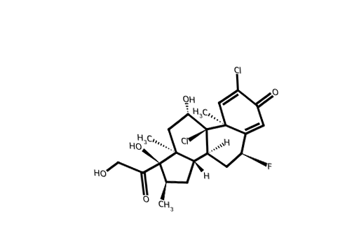 C[C@@H]1C[C@H]2[C@@H]3C[C@H](F)C4=CC(=O)C(Cl)=C[C@]4(C)[C@@]3(Cl)[C@@H](O)C[C@]2(C)[C@@]1(O)C(=O)CO